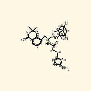 CC1(C)OC(=O)c2cccc(C[C@H](NC(=O)CSc3nnc(N)s3)B3OC4C[C@@H]5C[C@@H](C5(C)C)[C@]4(C)O3)c2O1